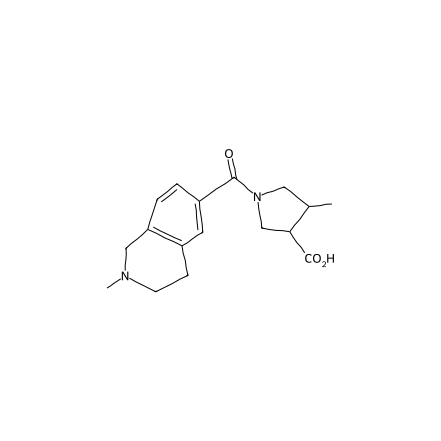 CC1CN(C(=O)c2ccc3c(c2)CCN(C)C3)CC1C(=O)O